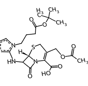 CC(=O)OCC1=C(C(=O)O)N2C(=O)C(Nc3nccn3CCCC(=O)OC(C)(C)C)[C@@H]2SC1